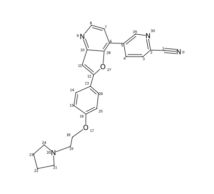 N#Cc1ccc(-c2ccnc3cc(-c4ccc(OCCN5CCCC5)cc4)oc23)cn1